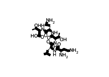 CC(C)C[C@@H](NC(=O)[C@@H](N)CCN)C(=O)N[C@H](C(=O)N[C@@H](CCN)C(=O)N[C@H](C(=O)O)[C@@H](C)O)[C@@H](C)O